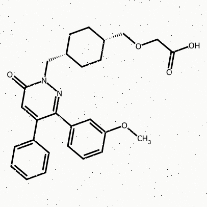 COc1cccc(-c2nn(C[C@H]3CC[C@@H](COCC(=O)O)CC3)c(=O)cc2-c2ccccc2)c1